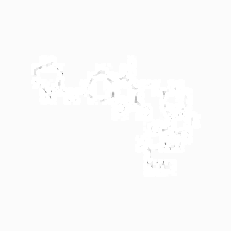 CNC(=O)NS(=O)(=O)c1cc(Cc2c(C)c3ccc(Oc4ncccn4)cc3oc2=O)ccc1F